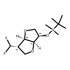 CC(C)(C)[Si](C)(C)O[C@@H]1CO[C@H]2[C@@H]1OC[C@@H]2C(F)F